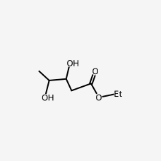 CCOC(=O)CC(O)C(C)O